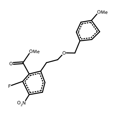 COC(=O)c1c(CCOCc2ccc(OC)cc2)ccc([N+](=O)[O-])c1F